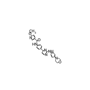 COc1ccc(C(=O)Nc2ccc(-c3ccnc(Nc4ccc(N5CCOCC5)cc4)n3)cc2)cn1